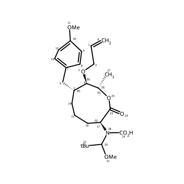 C=CCO[C@@H]1[C@@H](Cc2ccc(OC)cc2)CCC[C@H](N(C(=O)O)C(OC)C(C)(C)C)C(=O)O[C@H]1C